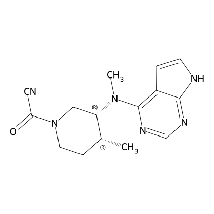 C[C@@H]1CCN(C(=O)C#N)C[C@@H]1N(C)c1ncnc2[nH]ccc12